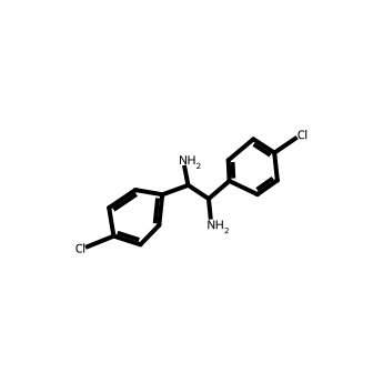 NC(c1ccc(Cl)cc1)C(N)c1ccc(Cl)cc1